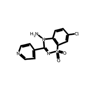 NN1C(c2ccncc2)=NS(=O)(=O)c2cc(Cl)ccc21